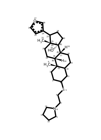 C[C@]12CCC(SCCN3CCCC3)CC1CC[C@@H]1[C@H]2CC[C@]2(C)C(c3ccoc3)CC[C@@]12O